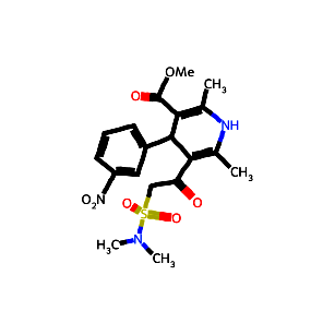 COC(=O)C1=C(C)NC(C)=C(C(=O)CS(=O)(=O)N(C)C)C1c1cccc([N+](=O)[O-])c1